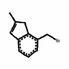 CC1=Cc2cccc(CBr)c2C1